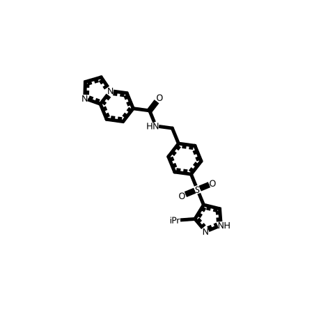 CC(C)c1n[nH]cc1S(=O)(=O)c1ccc(CNC(=O)c2ccc3nccn3c2)cc1